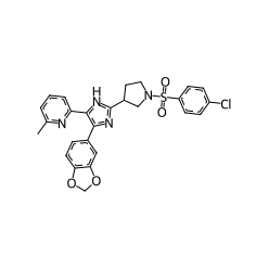 Cc1cccc(-c2[nH]c(C3CCN(S(=O)(=O)c4ccc(Cl)cc4)C3)nc2-c2ccc3c(c2)OCO3)n1